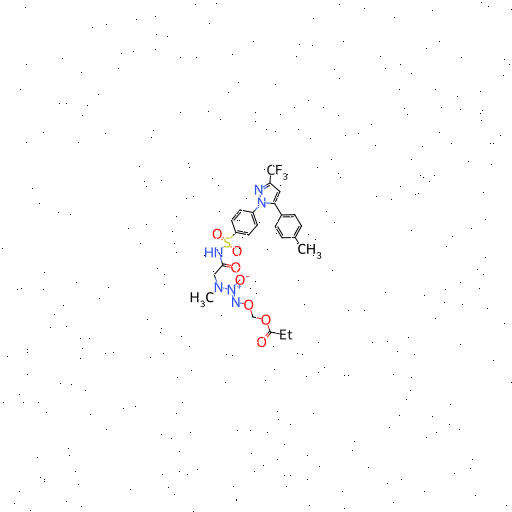 CCC(=O)OCON=[N+]([O-])N(C)CC(=O)NS(=O)(=O)c1ccc(-n2nc(C(F)(F)F)cc2-c2ccc(C)cc2)cc1